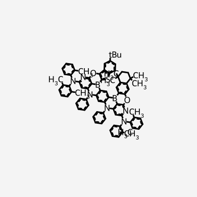 Cc1ccccc1N(c1cc2c3c(n1)Oc1cc4c(cc1B3c1cc3c(cc1N2c1ccccc1)N(c1ccccc1)c1cc(N(c2ccccc2C)c2c(C)cccc2C)nc2c1B3c1sc3ccc(C(C)(C)C)cc3c1O2)C(C)(C)CCC4(C)C)c1c(C)cccc1C